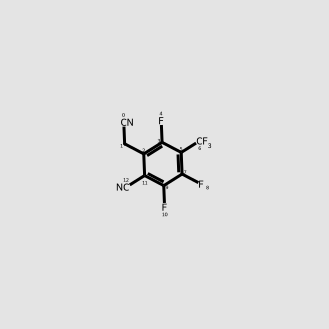 N#CCc1c(F)c(C(F)(F)F)c(F)c(F)c1C#N